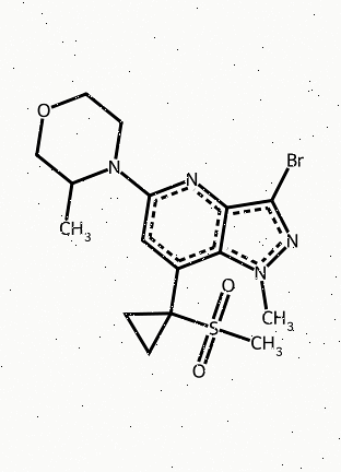 CC1COCCN1c1cc(C2(S(C)(=O)=O)CC2)c2c(n1)c(Br)nn2C